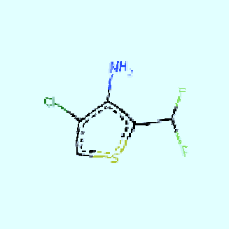 Nc1c(Cl)csc1C(F)F